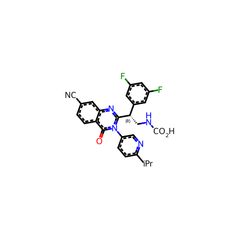 CC(C)c1ccc(-n2c([C@@H](CNC(=O)O)c3cc(F)cc(F)c3)nc3cc(C#N)ccc3c2=O)cn1